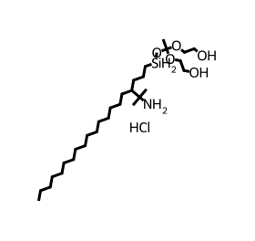 CCCCCCCCCCCCCCCCC(CCC[SiH2]OC(C)(OCCO)OCCO)C(C)(C)N.Cl